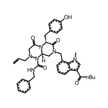 C=CCN1CC(=O)N2[C@@H](Cc3ccc(O)cc3)C(=O)N(Cc3cccc4c(C(=O)CCCC)cn(C)c34)C[C@@H]2N1C(=O)NCc1ccccc1